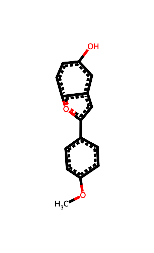 COc1ccc(-c2cc3cc(O)ccc3o2)cc1